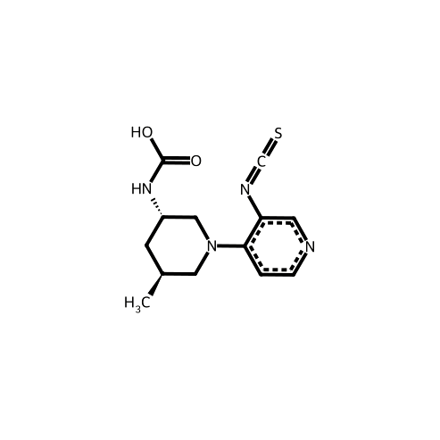 C[C@H]1C[C@H](NC(=O)O)CN(c2ccncc2N=C=S)C1